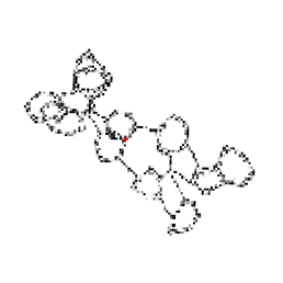 c1ccc(N(c2ccccc2)c2ccc(-c3ccc4c(c3)C3(c5ccccc5-c5ccc(-c6ccc(-n7c8ccccc8c8ccccc87)cc6)cc53)c3oc5ccccc5c3-4)cc2)cc1